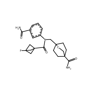 NC(=O)c1cccc(N(CC23CCC(C(N)=O)(CC2)CC3)C(=O)C23CC(F)(C2)C3)c1